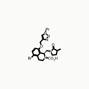 CC1CCN(C[C@@H]2c3c(OCc4cn(C(C)C)nn4)ccc(Br)c3CCN2C(=O)O)C1=O